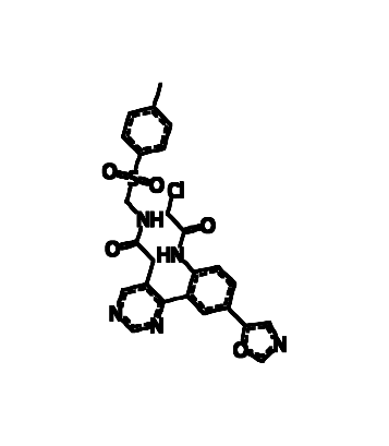 Cc1ccc(S(=O)(=O)CNC(=O)Cc2cncnc2-c2cc(-c3cnco3)ccc2NC(=O)CCl)cc1